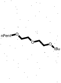 CCCCCOCCOCCOC(C)(C)C